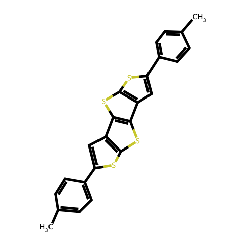 Cc1ccc(-c2cc3c(s2)sc2c4cc(-c5ccc(C)cc5)sc4sc32)cc1